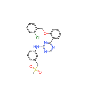 CS(=O)(=O)Cc1cccc(Nc2ncnc(-c3ccccc3OCc3ccccc3Cl)n2)c1